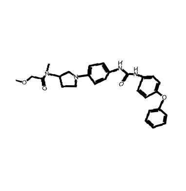 COCC(=O)N(C)C1CCN(c2ccc(NC(=O)Nc3ccc(Oc4ccccc4)cc3)cc2)C1